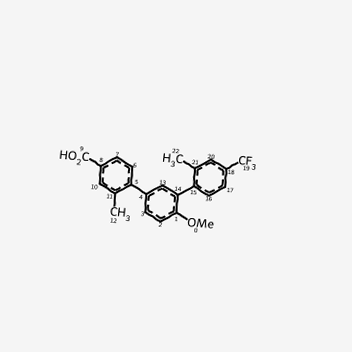 COc1ccc(-c2ccc(C(=O)O)cc2C)cc1-c1ccc(C(F)(F)F)cc1C